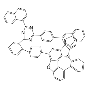 c1ccc(-c2nc(-c3ccc(-c4ccc5ccccc5c4)cc3)nc(-c3cccc4ccccc34)n2)c(-c2ccc(-c3cc4c5ccccc5n5c6ccccc6c6cccc7oc3c(c76)c45)cc2)c1